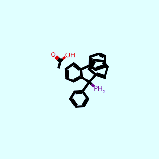 CC(=O)O.PC(c1ccccc1)(c1ccccc1)c1ccccc1-c1ccccc1